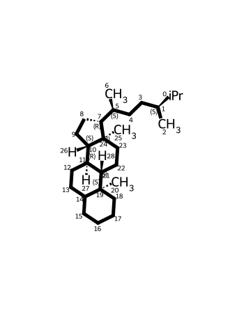 CC(C)[C@@H](C)CC[C@H](C)[C@H]1CC[C@H]2[C@@H]3CCC4CCCC[C@]4(C)[C@H]3CC[C@]12C